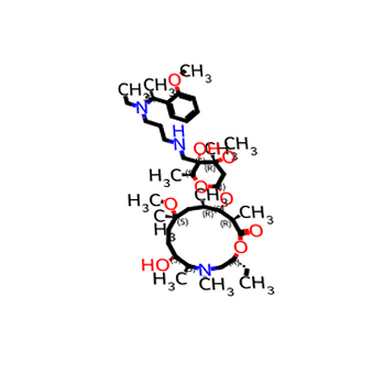 CC[C@@H]1CN(C)[C@@H](C)[C@@H](O)CC[C@](C)(OC)C[C@@H](C)[C@H](O[C@H]2C[C@@](C)(OC)[C@](O)(CNCCCN(CC)[C@@H](C)c3ccccc3OC)[C@H](C)O2)[C@@H](C)C(=O)O1